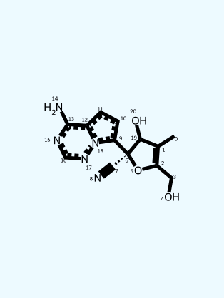 CC1=C(CO)O[C@@](C#N)(c2ccc3c(N)ncnn23)C1O